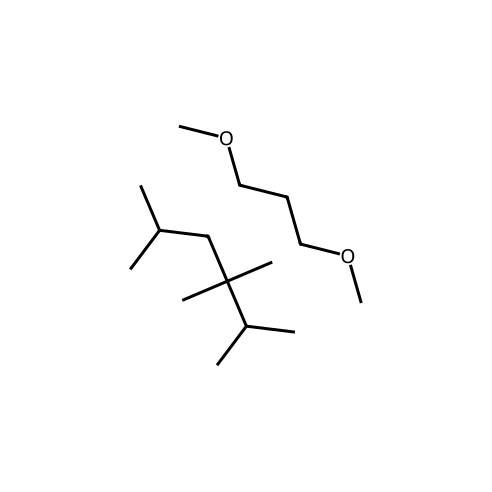 CC(C)CC(C)(C)C(C)C.COCCCOC